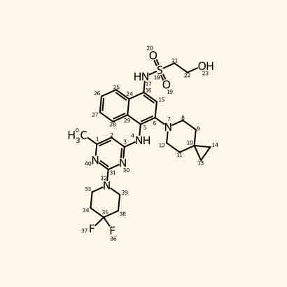 Cc1cc(Nc2c(N3CCC4(CC3)CC4)cc(NS(=O)(=O)CCO)c3ccccc23)nc(N2CCC(F)(F)CC2)n1